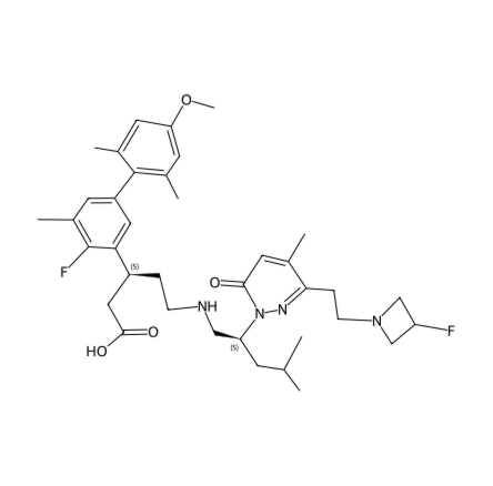 COc1cc(C)c(-c2cc(C)c(F)c([C@@H](CCNC[C@H](CC(C)C)n3nc(CCN4CC(F)C4)c(C)cc3=O)CC(=O)O)c2)c(C)c1